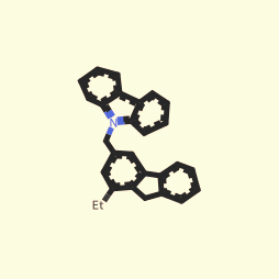 CCc1cc(Cn2c3ccccc3c3ccccc32)cc2c1Cc1ccccc1-2